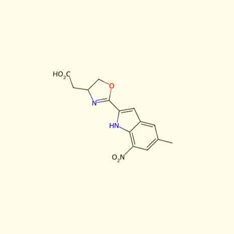 Cc1cc([N+](=O)[O-])c2[nH]c(C3=NC(CC(=O)O)CO3)cc2c1